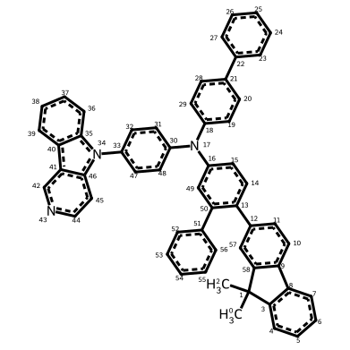 CC1(C)c2ccccc2-c2ccc(-c3ccc(N(c4ccc(-c5ccccc5)cc4)c4ccc(-n5c6ccccc6c6cnccc65)cc4)cc3-c3ccccc3)cc21